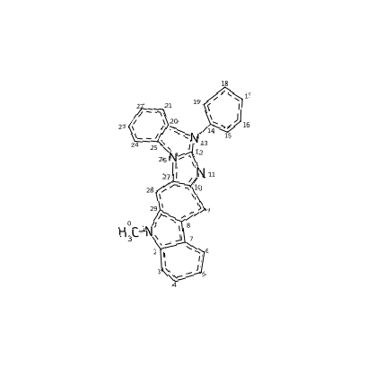 Cn1c2ccccc2c2cc3nc4n(-c5ccccc5)c5ccccc5n4c3cc21